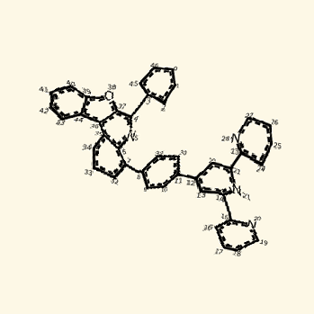 c1ccc(-c2nc3c(-c4ccc(-c5cc(-c6ccccn6)nc(-c6ccccn6)c5)cc4)cccc3c3c2oc2ccccc23)cc1